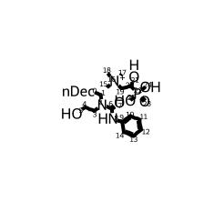 CCCCCCCCCCCN(CCO)C(=O)Nc1ccccc1.C[N+](C)(C)CC(O)P(=O)(O)O